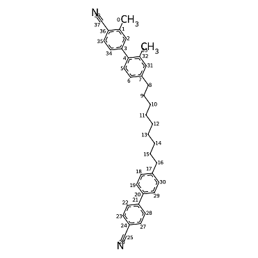 Cc1cc(-c2ccc(CCCCCCCCCc3ccc(-c4ccc(C#N)cc4)cc3)cc2C)ccc1C#N